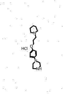 Cl.c1cc(N2CCNCC2)ccc1OCCCN1CCCCC1